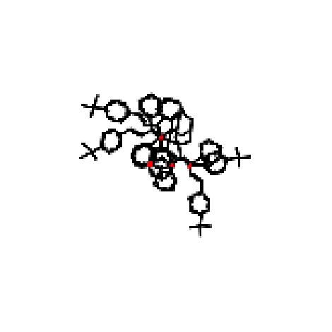 CC(C)(C)c1ccc(C=CC(=C(c2ccccc2)C23CC4CC(C2)CC(C(=C(C=Cc2ccc(C(C)(C)C)cc2)c2ccccc2)c2ccccc2)(C4)C3(C(=C(C=Cc2ccc(C(C)(C)C)cc2)c2ccccc2)c2ccccc2)C(=C(C=Cc2ccc(C(C)(C)C)cc2)c2ccccc2)c2ccccc2)c2ccccc2)cc1